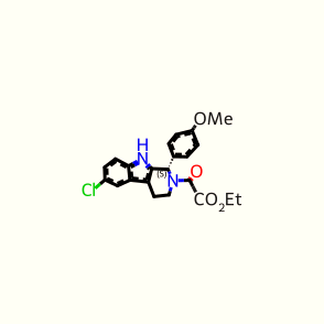 CCOC(=O)C(=O)N1CCc2c([nH]c3ccc(Cl)cc23)[C@@H]1c1ccc(OC)cc1